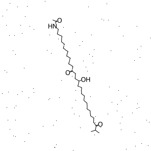 CC(=O)NCCCCCCCCCCCC(=O)CCC(O)CCCCCCCCCCCC(=O)C(C)C